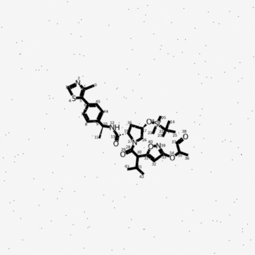 Cc1ncsc1-c1ccc([C@H](C)NC(=O)[C@@H]2C[C@@H](O[Si](C)(C)C(C)(C)C)CN2C(=O)C(c2cc(OC(C)C=O)no2)C(C)C)cc1